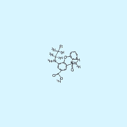 [2H]OC(=O)c1cc(N([2H])C([2H])([2H])C([2H])([2H])CC)c(Oc2ccccc2)c(S(=O)(=O)N([2H])[2H])c1